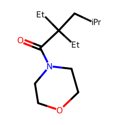 CCC(CC)(CC(C)C)C(=O)N1CCOCC1